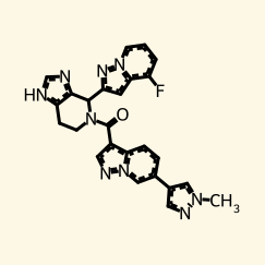 Cn1cc(-c2ccc3c(C(=O)N4CCc5[nH]cnc5C4c4cc5c(F)cccn5n4)cnn3c2)cn1